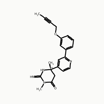 CC#CCOc1cccc(-c2cc([C@]3(C)CC(=O)N(C)C(=N)N3)ccn2)c1